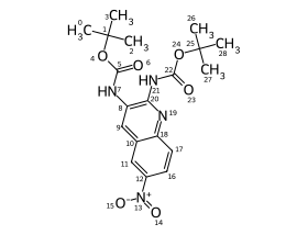 CC(C)(C)OC(=O)Nc1cc2cc([N+](=O)[O-])ccc2nc1NC(=O)OC(C)(C)C